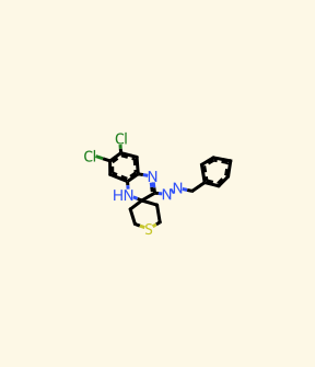 Clc1cc2c(cc1Cl)NC1(CCSCC1)C(N=NCc1ccccc1)=N2